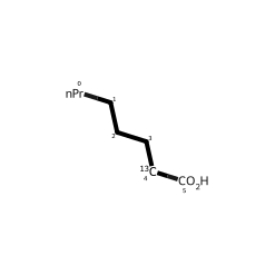 CCCCCC[13CH2]C(=O)O